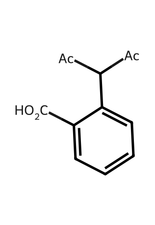 CC(=O)C(C(C)=O)c1ccccc1C(=O)O